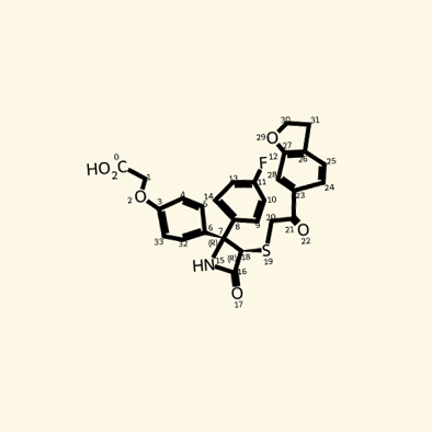 O=C(O)COc1ccc([C@]2(c3ccc(F)cc3)NC(=O)[C@@H]2SCC(=O)c2ccc3c(c2)OCC3)cc1